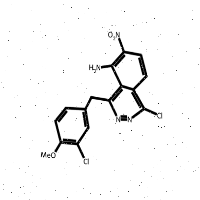 COc1ccc(Cc2nnc(Cl)c3ccc([N+](=O)[O-])c(N)c23)cc1Cl